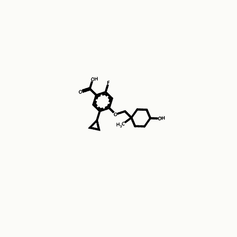 CC1(COc2cc(F)c(C(=O)O)cc2C2CC2)CCC(O)CC1